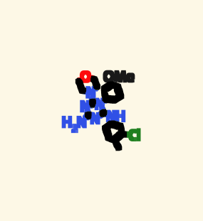 COc1cccc(N2C(N3CCOCC3)=NC(N)=NC2Nc2ccc(C)c(Cl)c2)c1